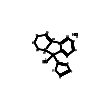 Cl.OC1(c2cccs2)c2ccccc2C2=NCCCN21